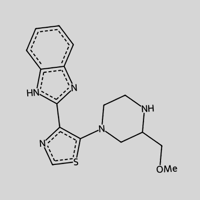 COCC1CN(c2scnc2-c2nc3ccccc3[nH]2)CCN1